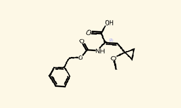 COC1(/C=C(\NC(=O)OCc2ccccc2)C(=O)O)CC1